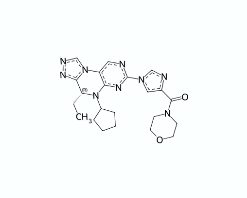 CC[C@@H]1c2nncn2-c2cnc(-n3cnc(C(=O)N4CCOCC4)c3)nc2N1C1CCCC1